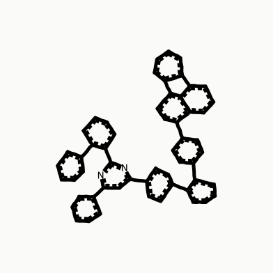 c1ccc(-c2cc(-c3ccc(-c4ccccc4-c4ccc(-c5ccc6c7c(cccc57)-c5ccccc5-6)cc4)cc3)nc(-c3ccccc3-c3ccccc3)n2)cc1